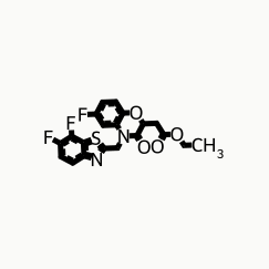 CCOC(=O)CC1Oc2ccc(F)cc2N(Cc2nc3ccc(F)c(F)c3s2)C1=O